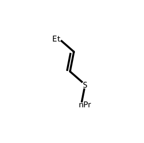 CCC=CSCCC